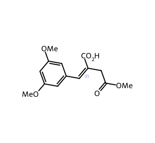 COC(=O)C/C(=C/c1cc(OC)cc(OC)c1)C(=O)O